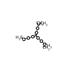 C=C/C=C(\C=C)c1ccc(-c2ccc(N(c3ccc(-c4ccc(C5=CC(C)CC=C5)cc4)cc3)c3ccc(-c4ccc(C(/C=C\C)=C/C=C)cc4)cc3)cc2)cc1